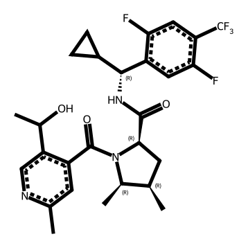 Cc1cc(C(=O)N2[C@@H](C(=O)N[C@@H](c3cc(F)c(C(F)(F)F)cc3F)C3CC3)C[C@@H](C)[C@H]2C)c(C(C)O)cn1